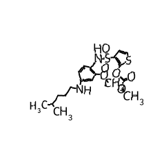 COC(=O)Oc1sccc1S(=O)(=O)Nc1ccc(NCCCC(C)C)cc1OC